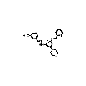 Cc1cccc(/C=N/Nc2cc(N3CCOCC3)nc(OCc3ncccn3)n2)c1